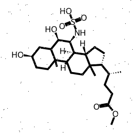 COC(=O)CC[C@@H](C)[C@H]1CC[C@H]2[C@@H]3[C@H](NS(=O)(=O)O)[C@H](O)C4C[C@H](O)CCC4(C)[C@H]3CCC12C